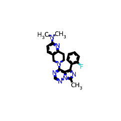 Cc1nc(-c2ccccc2F)c2c(N3CCc4nc(N(C)C)ccc4C3)ncnn12